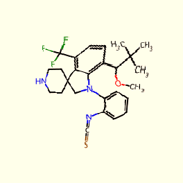 COC(c1ccc(C(F)(F)F)c2c1N(c1ccccc1N=C=S)CC21CCNCC1)C(C)(C)C